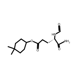 CC1(C)CCC(OC(=O)CC[C@H](NC=O)C(N)=O)CC1